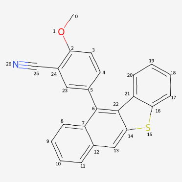 COc1ccc(-c2c3ccccc3cc3sc4ccccc4c23)cc1C#N